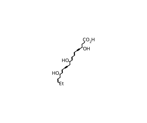 CC/C=C\C[C@H](O)/C=C/C#CC[C@@H](O)/C=C/C=C/C#C[C@@H](O)CCC(=O)O